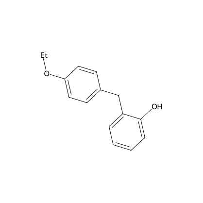 CCOc1ccc(Cc2ccccc2O)cc1